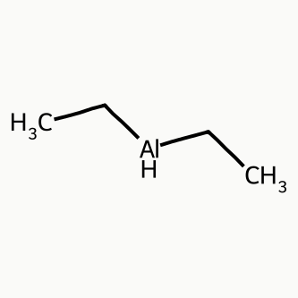 C[CH2][AlH][CH2]C